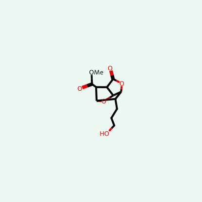 COC(=O)C1C2OC3C(OC(=O)C31)C2CCCO